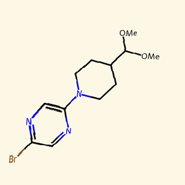 COC(OC)C1CCN(c2cnc(Br)cn2)CC1